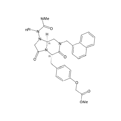 CCCN(C(=O)NC)N1CC(=O)N2[C@@H](Cc3ccc(OCC(=O)OC)cc3)C(=O)N(Cc3cccc4ccccc34)C[C@@H]21